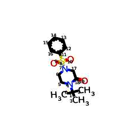 CC(C)(C)N1CCN(S(=O)(=O)c2ccccc2)CC1=O